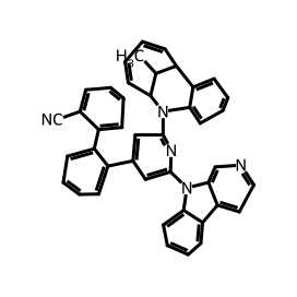 CC1C2C=CC=CC1N(c1cc(-c3ccccc3-c3ccccc3C#N)cc(-n3c4ccccc4c4ccncc43)n1)c1ccccc12